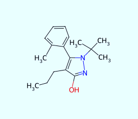 CCCc1c(O)nn(C(C)(C)C)c1-c1ccccc1C